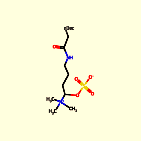 CCCCCCCCCCCC(=O)NCCCC(OS(=O)(=O)[O-])[N+](C)(C)C